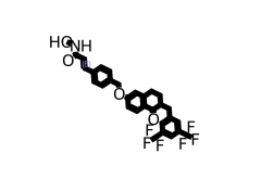 O=C(/C=C/c1ccc(COc2ccc3c(c2)CCC(Cc2cc(C(F)(F)F)cc(C(F)(F)F)c2)C3=O)cc1)NO